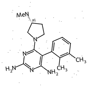 CN[C@@H]1CCN(c2nc(N)nc(N)c2-c2cccc(C)c2C)C1